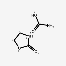 NC(=O)O.O=C1NCCO1